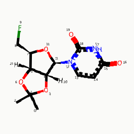 CC1(C)O[C@@H]2[C@H](O1)[C@@H](CF)O[C@H]2n1ccc(=O)[nH]c1=O